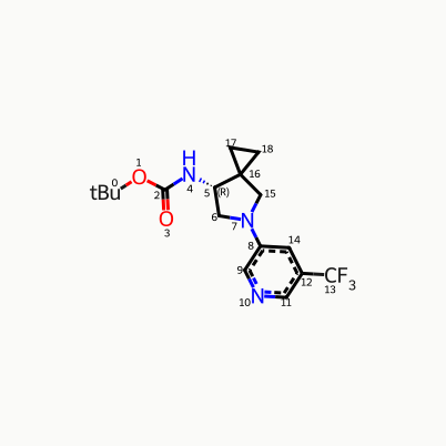 CC(C)(C)OC(=O)N[C@H]1CN(c2cncc(C(F)(F)F)c2)CC12CC2